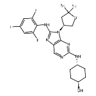 [2H]C1([2H])C[C@H](n2c(Nc3c(F)cc(F)cc3F)nc3cnc(N[C@H]4CC[C@H](O)CC4)nc32)CO1